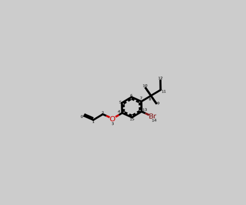 C=CCOc1ccc(C(C)(C)CC)c(Br)c1